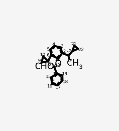 CC(c1cccc(C2(C=O)CC2)c1OCc1ccccc1)C1CC1